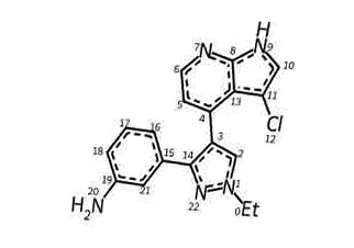 CCn1cc(-c2ccnc3[nH]cc(Cl)c23)c(-c2cccc(N)c2)n1